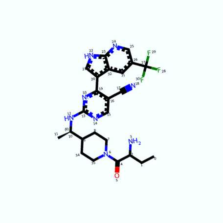 CCC(N)C(=O)N1CCC([C@@H](C)Nc2ncc(C#N)c(-c3c[nH]c4ncc(C(F)(F)F)cc34)n2)CC1